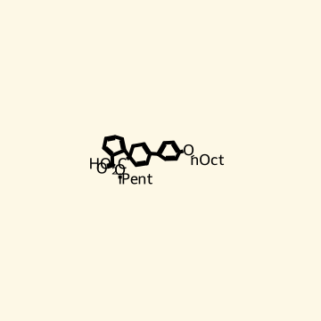 CCCCCCCCOc1ccc(C2=CCC(C(=O)O)(c3ccccc3C(=O)OC(C)CCC)C=C2)cc1